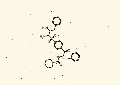 NC(Cc1ccccc1)C(N)S(=O)(=O)c1ccc(C(=O)[C@H](Cc2ccccc2)NC(=O)N2CCOCC2)cc1